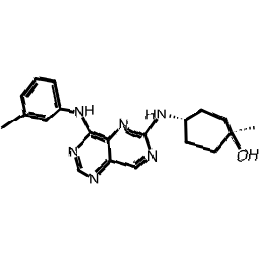 Cc1cccc(Nc2ncnc3cnc(N[C@H]4CC[C@](C)(O)CC4)nc23)c1